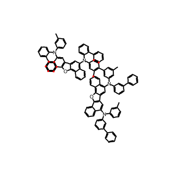 Cc1cccc(N(c2cccc(-c3ccccc3)c2)c2cc3c4cc(N(c5cccc(-c6ccccc6)c5)c5cc(C)cc(-c6ccc(N(c7ccccc7-c7ccccc7)c7cc8c9cc(N(c%10cccc(C)c%10)c%10ccccc%10-c%10ccccc%10)c%10ccccc%10c9oc8c8ccccc78)cc6C)c5)c5ccccc5c4oc3c3ccccc23)c1